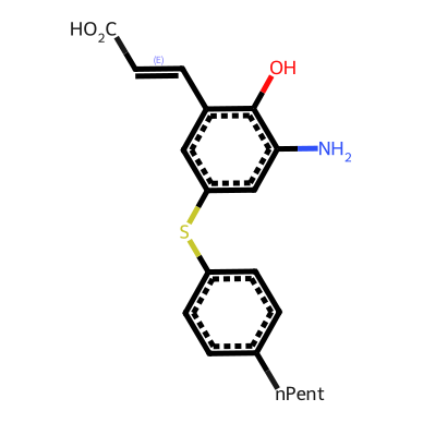 CCCCCc1ccc(Sc2cc(N)c(O)c(/C=C/C(=O)O)c2)cc1